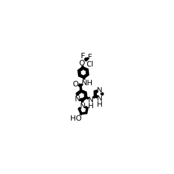 O=C(Nc1ccc(OC(F)(F)Cl)cc1)c1cnc(N2CCC(O)C2)c(Nc2cnc[nH]2)c1